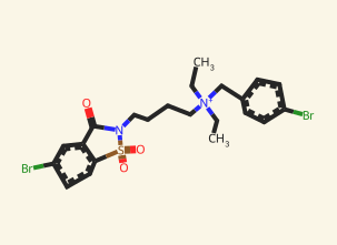 CC[N+](CC)(CCCCN1C(=O)c2cc(Br)ccc2S1(=O)=O)Cc1ccc(Br)cc1